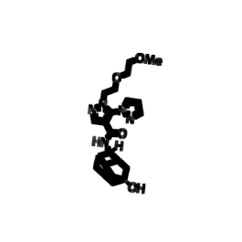 COCCOCCn1ncc(C(=O)N[C@H]2C3CC4CC2C[C@](O)(C4)C3)c1-n1cccn1